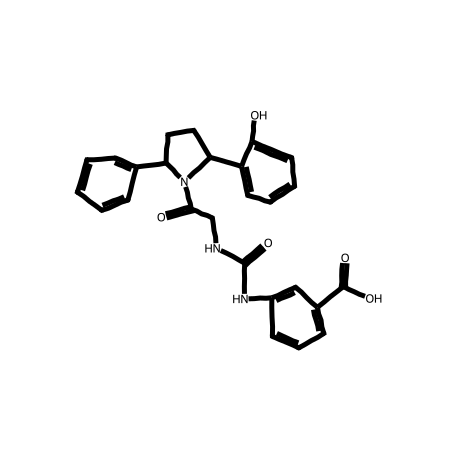 O=C(NCC(=O)N1C(c2ccccc2)CCC1c1ccccc1O)Nc1cccc(C(=O)O)c1